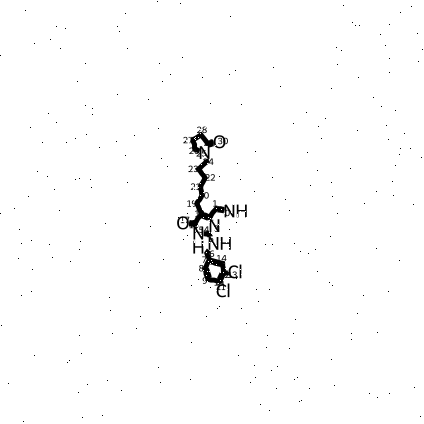 N=Cc1nc(NCc2ccc(Cl)c(Cl)c2)[nH]c(=O)c1CCCCCCN1CCCC1=O